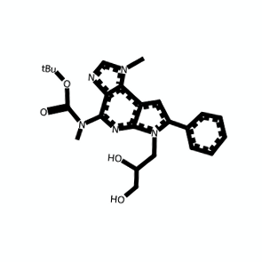 CN(C(=O)OC(C)(C)C)c1nc2c(cc(-c3ccccc3)n2CC(O)CO)c2c1ncn2C